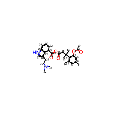 CC(=O)Oc1cc(C)cc(C)c1C(C)(C)CC(=O)OC(=O)c1cccc2[nH]cc(CCN(C)C)c12